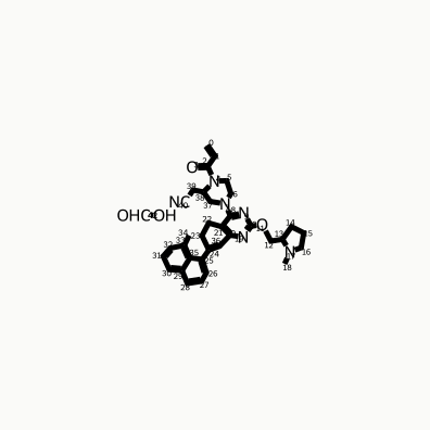 C=CC(=O)N1CCN(c2nc(OCC3CCCN3C)nc3c2CCC(c2cccc4cccc(C)c24)=C3)CC1CC#N.O=CO